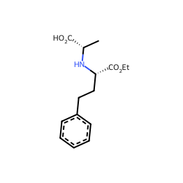 CCOC(=O)[C@H](CCc1ccccc1)N[C@@H](C)C(=O)O